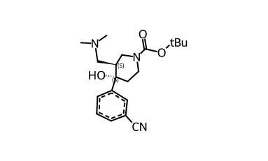 CN(C)C[C@H]1CN(C(=O)OC(C)(C)C)CC[C@@]1(O)c1cccc(C#N)c1